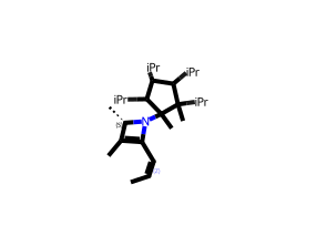 C/C=C\C1=C(C)[C@H](C)N1C1(C)C(C(C)C)C(C(C)C)C(C(C)C)C1(C)C(C)C